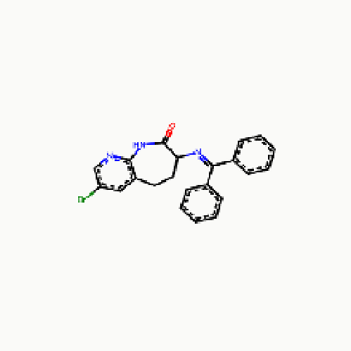 O=C1Nc2ncc(Br)cc2CCC1N=C(c1ccccc1)c1ccccc1